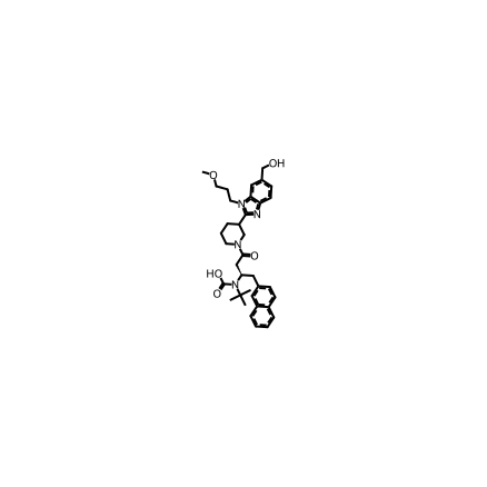 COCCCn1c(C2CCCN(C(=O)C[C@@H](Cc3ccc4ccccc4c3)N(C(=O)O)C(C)(C)C)C2)nc2ccc(CO)cc21